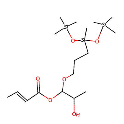 CC=CC(=O)OC(OCCC[Si](C)(O[Si](C)(C)C)O[Si](C)(C)C)C(C)O